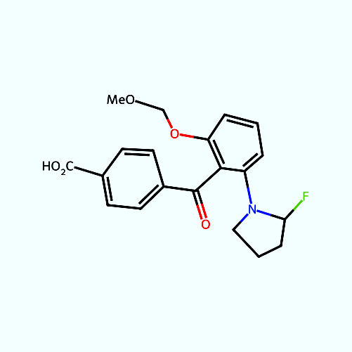 COCOc1cccc(N2CCCC2F)c1C(=O)c1ccc(C(=O)O)cc1